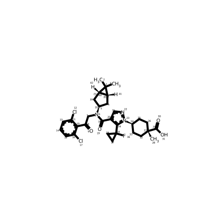 CC1(C)[C@@H]2C[C@@H](N(CC(=O)c3c(Cl)cccc3Cl)C(=O)c3cnn([C@H]4CC[C@](C)(C(=O)O)CC4)c3C3(F)CC3)C[C@@H]21